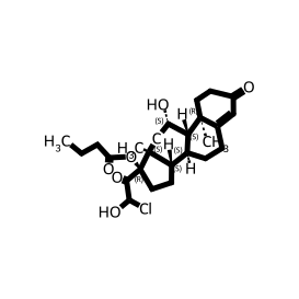 CCCC(=O)O[C@]1(C(=O)C(O)Cl)CC[C@H]2[C@@H]3CCC4=CC(=O)CC[C@]4(C)[C@H]3[C@@H](O)C[C@@]21C